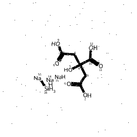 O=C(O)CC(O)(CC(=O)O)C(=O)O.[NaH].[NaH].[Na][SiH3]